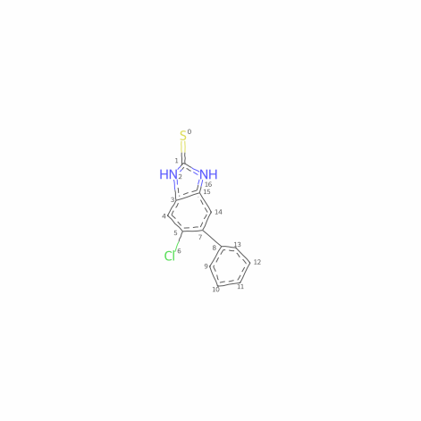 S=c1[nH]c2cc(Cl)c(-c3ccccc3)cc2[nH]1